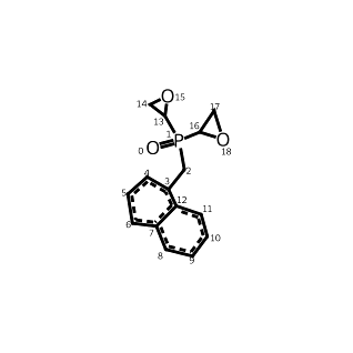 O=P(Cc1cccc2ccccc12)(C1CO1)C1CO1